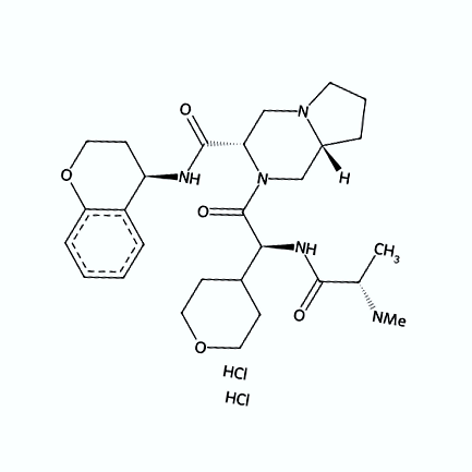 CN[C@@H](C)C(=O)N[C@H](C(=O)N1C[C@H]2CCCN2C[C@H]1C(=O)N[C@@H]1CCOc2ccccc21)C1CCOCC1.Cl.Cl